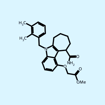 COC(=O)COc1cccc2c1c1c(n2Cc2cccc(C)c2C)CCCCC1C(N)=O